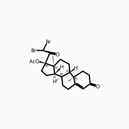 CC(=O)O[C@]1(C(=O)C(Br)Br)CC[C@H]2[C@@H]3CCC4=CC(=O)CC[C@]4(C)[C@H]3CC[C@@]21C